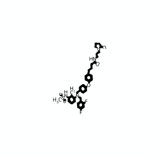 Cc1c(NS(C)(=O)=O)cccc1N(Cc1ccc(Oc2ccc(CCCC(=O)NCCCN3CCCC3=O)cc2)cc1)Cc1ccc(F)cc1F